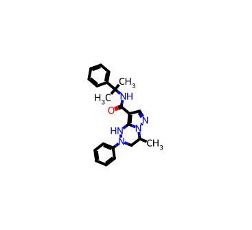 CC1CN(c2ccccc2)Nc2c(C(=O)NC(C)(C)c3ccccc3)cnn21